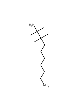 CC(C)(N)C(C)(C)CCCCCCN